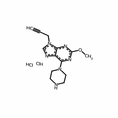 C#CCn1cnc2c(N3CCNCC3)nc(OC)nc21.Cl.Cl